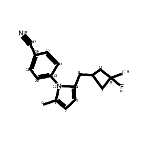 Cc1ccc(CC2CC(F)(F)C2)n1-c1ccc(C#N)cc1